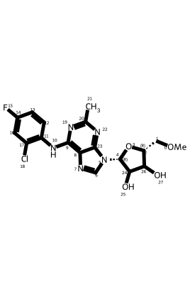 COC[C@H]1O[C@@H](n2cnc3c(Nc4ccc(F)cc4Cl)nc(C)nc32)C(O)C1O